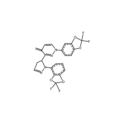 C=C1C=CN(c2ccc3c(c2)OC(F)(F)O3)N=C1C1CC=NN1c1cccc2c1OC(F)(F)O2